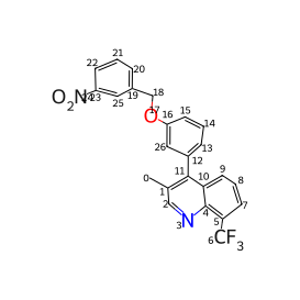 Cc1cnc2c(C(F)(F)F)cccc2c1-c1cccc(OCc2cccc([N+](=O)[O-])c2)c1